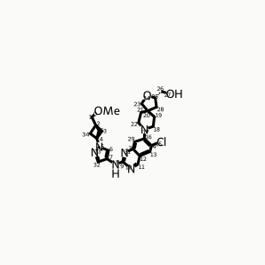 COCC12CC(n3cc(Nc4ncc5cc(Cl)c(N6CCC7(CC6)CO[C@H](CO)C7)cc5n4)cn3)(C1)C2